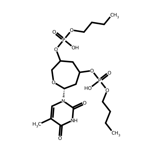 CCCCOP(=O)(O)OC1CO[C@@H](n2cc(C)c(=O)[nH]c2=O)CC(OP(=O)(O)OCCCC)C1